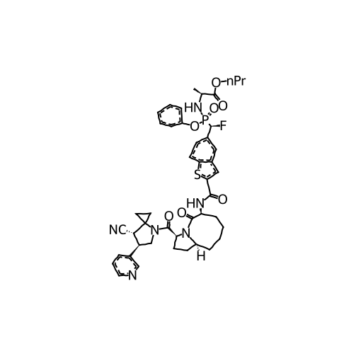 CCCOC(=O)[C@H](C)NP(=O)(Oc1ccccc1)[C@@H](F)c1ccc2sc(C(=O)N[C@H]3CCCC[C@H]4CC[C@@H](C(=O)N5C[C@@H](c6cccnc6)[C@H](C#N)C56CC6)N4C3=O)cc2c1